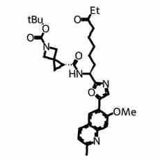 CCC(=O)CCCCC[C@H](NC(=O)[C@@H]1CC12CN(C(=O)OC(C)(C)C)C2)c1ncc(-c2cc3ccc(C)nc3cc2OC)o1